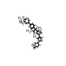 C=C(N)/N=C\C(=C/N)c1ccc([C@](C)(c2noc(-c3cnn(C4CCS(=O)(=O)C4)c3)n2)C(C)C)cn1